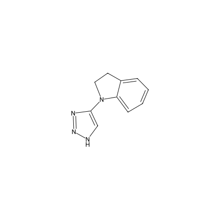 c1ccc2c(c1)CCN2c1c[nH]nn1